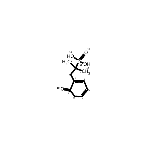 CC(C)(CC1=CC=CCC1=O)P(=O)(O)O